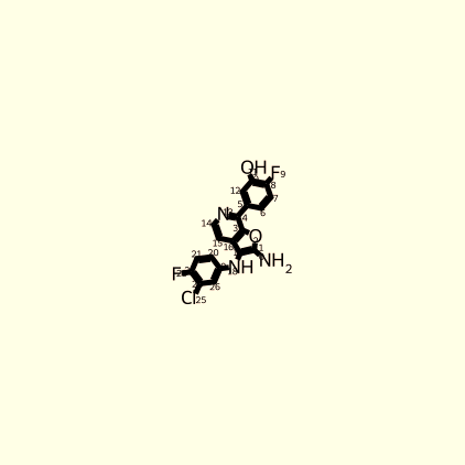 Nc1oc2c(-c3ccc(F)c(O)c3)nccc2c1Nc1ccc(F)c(Cl)c1